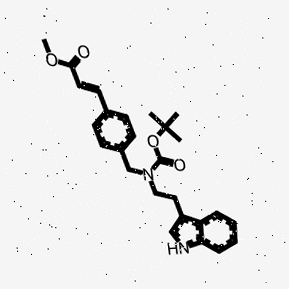 COC(=O)/C=C/c1ccc(CN(CCc2c[nH]c3ccccc23)C(=O)OC(C)(C)C)cc1